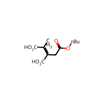 CCCCOC(=O)CC(C(=O)O)=C(C)C(=O)O